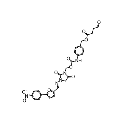 O=CCCC(=O)OCc1ccc(NC(=O)OCN2C(=O)CN(/N=C/c3ccc(-c4ccc([N+](=O)[O-])cc4)o3)C2=O)cc1